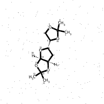 CC1(C)OCC([C@@H]2C[C@H]3OC(C)(C)O[C@H]3O2)O1